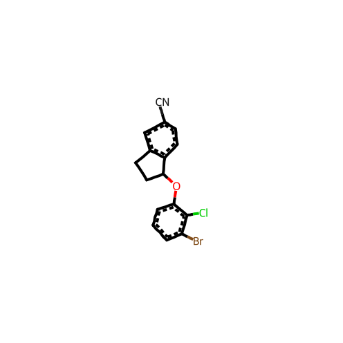 N#Cc1ccc2c(c1)CCC2Oc1cccc(Br)c1Cl